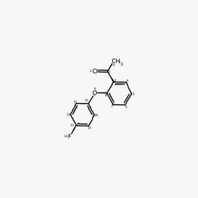 CC(=O)c1ccccc1Oc1ccc(F)cc1